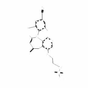 CC1=CC(=O)Cc2c(NCCNS(C)(=O)=O)cncc2N1c1c(Cl)cc(C#N)cc1Cl